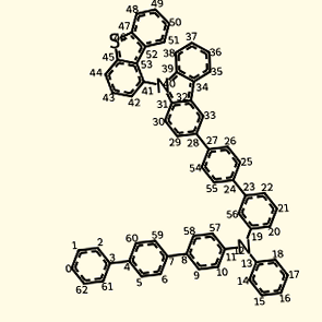 c1ccc(-c2ccc(-c3ccc(N(c4ccccc4)c4cccc(-c5ccc(-c6ccc7c(c6)c6ccccc6n7-c6cccc7sc8ccccc8c67)cc5)c4)cc3)cc2)cc1